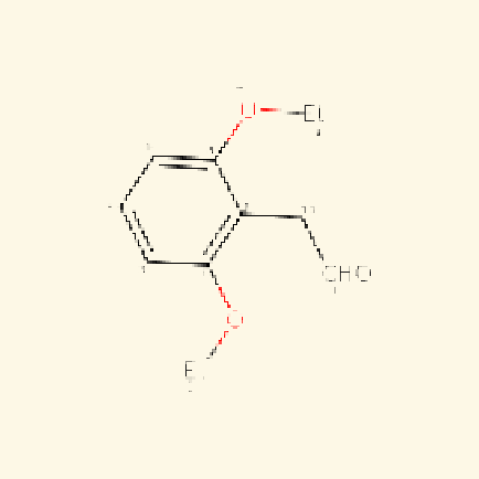 CCOc1cccc(OCC)c1CC=O